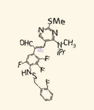 CSc1ncc(/C=C(\C=O)c2cc(F)c(NSCc3ccccc3F)c(F)c2F)c(N(C)C(C)C)n1